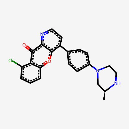 C[C@H]1CN(c2ccc(-c3ccnc4c(=O)c5c(Cl)cccc5oc34)cc2)CCN1